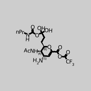 CCCNC(=O)OC(O)(O)CC[C@H]1OC(C(=O)OC(=O)C(F)(F)F)=C[C@H](N)[C@H]1NC(C)=O